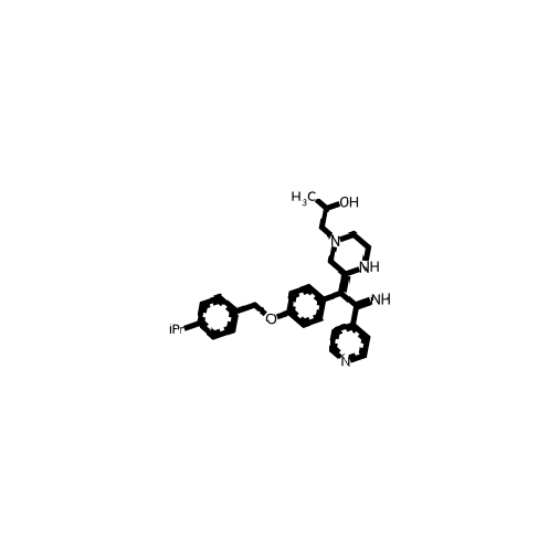 CC(O)CN1CCN/C(=C(\C(=N)c2ccncc2)c2ccc(OCc3ccc(C(C)C)cc3)cc2)C1